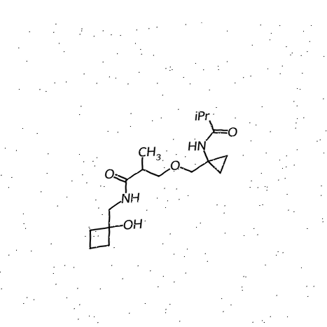 CC(C)C(=O)NC1(COCC(C)C(=O)NCC2(O)CCC2)CC1